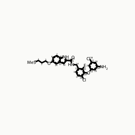 CSCCCOc1ccc2[nH]c(C(=O)NCc3ccc(Cl)c(Oc4cc(N)cc(Cl)c4)c3F)cc2c1